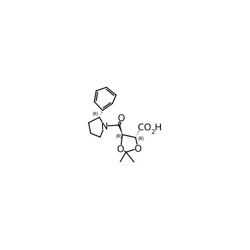 CC1(C)O[C@@H](C(=O)O)[C@H](C(=O)N2CCC[C@@H]2c2ccccc2)O1